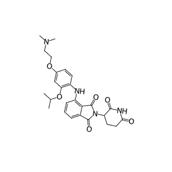 CC(C)Oc1cc(OCCN(C)C)ccc1Nc1cccc2c1C(=O)N(C1CCC(=O)NC1=O)C2=O